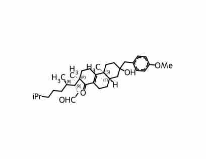 COc1ccc(CC2(O)CC[C@]3(C)C4=C(CC[C@H]3C2)C(=O)[C@@](C)([C@H](CC=O)[C@H](C)CCCC(C)C)CC4)cc1